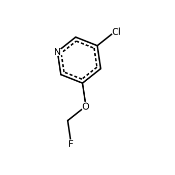 FCOc1cncc(Cl)c1